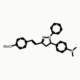 COc1ccc(C=CC2=NN(c3ccccc3)C(c3ccc(N(C)C)cc3)C2)cc1